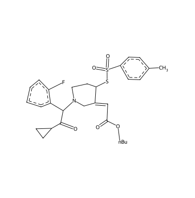 CCCCOC(=O)/C=C1\CN(C(C(=O)C2CC2)c2ccccc2F)CCC1SS(=O)(=O)c1ccc(C)cc1